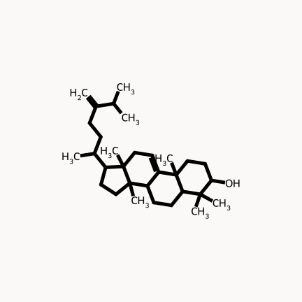 C=C(CCC(C)C1CCC2(C)C3CCC4C(C)(CCC(O)C4(C)C)C3=CCC12C)C(C)C